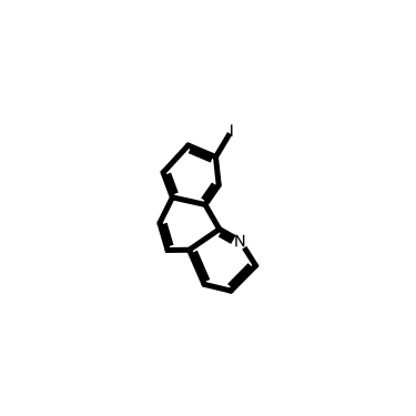 Ic1ccc2ccc3cccnc3c2c1